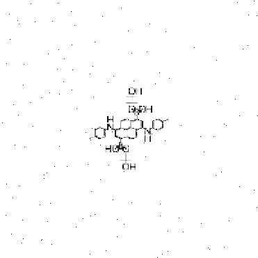 Cc1ccc(Nc2cc(B(O)OC(C)(C)C(C)(C)O)c3ccc4c(Nc5ccc(C)cc5)cc(B(O)OC(C)(C)C(C)(C)O)c5ccc2c3c45)cc1